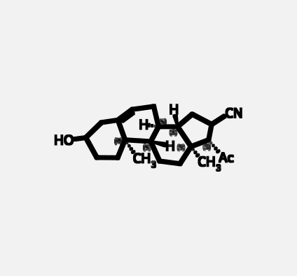 CC(=O)[C@H]1C(C#N)C[C@H]2[C@@H]3CC=C4CC(O)CC[C@]4(C)[C@H]3CC[C@]12C